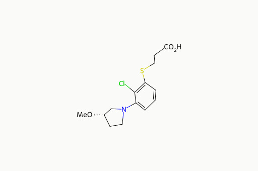 CO[C@H]1CCN(c2cccc(SCCC(=O)O)c2Cl)C1